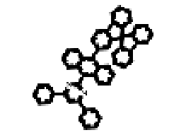 c1ccc(-c2cc(-c3ccccc3)nc(-c3c4ccccc4c(-c4ccc5c(c4)C4(c6ccccc6-c6ccccc64)c4ccccc4-5)c4ccccc34)n2)cc1